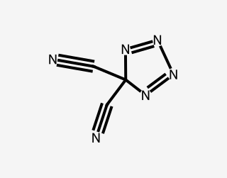 N#CC1(C#N)N=NN=N1